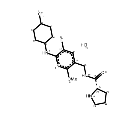 COc1nc(NC2CCC(C(F)(F)F)CC2)c(F)cc1CNC(=O)[C@@H]1CCCN1.Cl